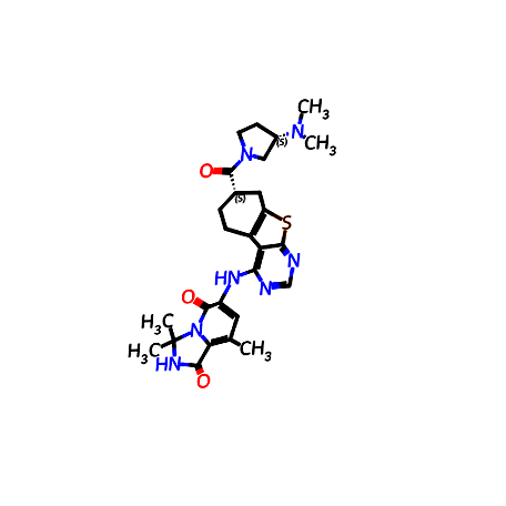 Cc1cc(Nc2ncnc3sc4c(c23)CC[C@H](C(=O)N2CC[C@H](N(C)C)C2)C4)c(=O)n2c1C(=O)NC2(C)C